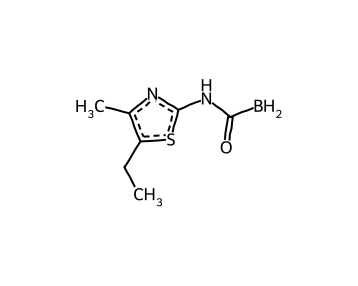 BC(=O)Nc1nc(C)c(CC)s1